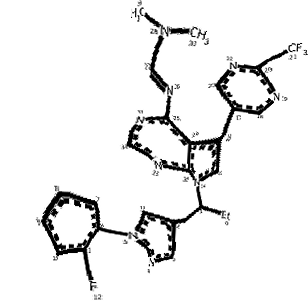 CCC(c1cnn(-c2ccccc2F)c1)n1cc(-c2cnc(C(F)(F)F)nc2)c2c(N=CN(C)C)ncnc21